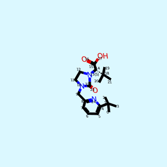 CC(C)(C)c1cccc(CN2CCN([C@H](C(=O)O)C(C)(C)C)C2=O)n1